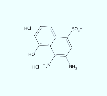 Cl.Cl.Nc1cc(S(=O)(=O)O)c2cccc(O)c2c1N